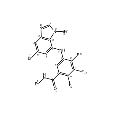 CCNC(=O)c1cc(Nc2nc(Br)cc3ncn(C(C)C)c23)c(F)c(F)c1F